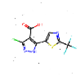 O=C(O)c1c(Cl)n[nH]c1-c1cnc(C(F)(F)F)s1